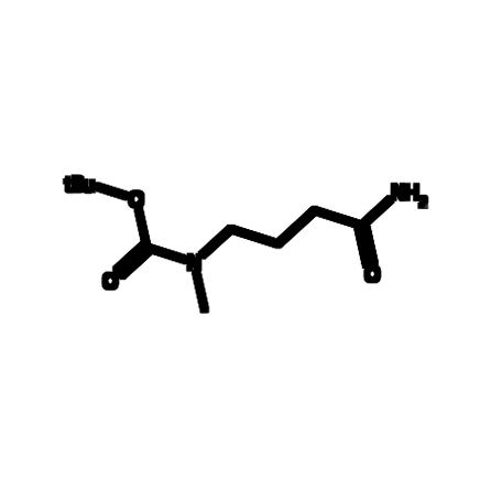 CN(CCCC(N)=O)C(=O)OC(C)(C)C